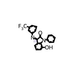 O=C1/C(=N\c2cccc(C(F)(F)F)c2)c2cccc(O)c2N1c1ccccc1